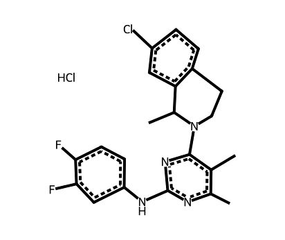 Cc1nc(Nc2ccc(F)c(F)c2)nc(N2CCc3ccc(Cl)cc3C2C)c1C.Cl